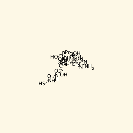 CC(C)(COP(=O)(O)OP(=O)(O)OC[C@H]1O[C@@H](n2cnc3c(N)ncnc32)[C@H](O)[C@@H]1OP(=O)(O)O)C(O)C(=O)NCCC(=O)NCCS.CCCC(=O)CC(O)O